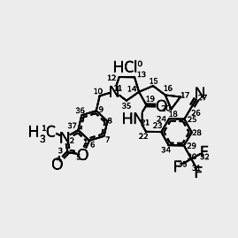 Cl.Cn1c(=O)oc2ccc(CN3CCC(CC4CC4)(C(=O)NCc4cc(C#N)cc(C(F)(F)F)c4)C3)cc21